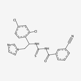 N#Cc1cccc(C(=O)NC(=S)NC(Cn2ccnc2)c2ccc(Cl)cc2Cl)c1